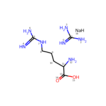 N=C(N)N.N=C(N)NCCCC(N)C(=O)O.[NaH]